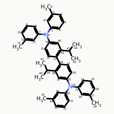 Cc1cccc(N(c2cccc(C)c2)c2ccc(-c3ccc(N(c4cccc(C)c4)c4cccc(C)c4)cc3C(C)C)c(C(C)C)c2)c1